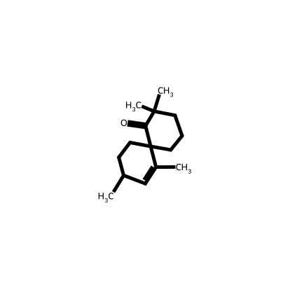 CC1=CC(C)CCC12CCCC(C)(C)C2=O